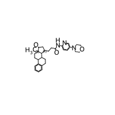 C[C@]12CCC3c4ccccc4CCC3C1[C@H](CCC(=O)Nc1ccc(N3CCOCC3)cn1)CC2=O